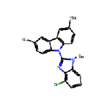 CCCCn1c(-n2c3ccc(C(C)(C)C)cc3c3cc(C(C)(C)C)ccc32)nc2c(Br)cccc21